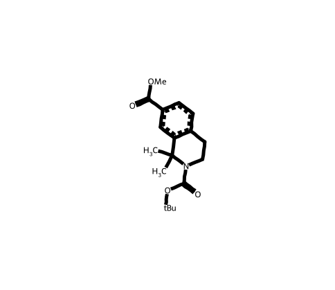 COC(=O)c1ccc2c(c1)C(C)(C)N(C(=O)OC(C)(C)C)CC2